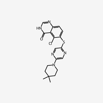 CC1(C)CCN(c2cnc(Sc3ccc4nc[nH]c(=O)c4c3Cl)cn2)CC1